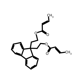 CC=CC(=O)OCCC1(CCOC(=O)C=CC)c2ccccc2-c2ccccc21